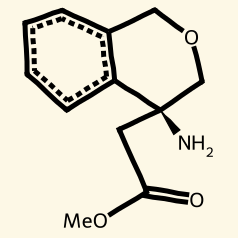 COC(=O)C[C@@]1(N)COCc2ccccc21